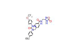 CC(C)(C)c1ccc(N(Cc2ccc(C(=O)NCc3noc(=O)[nH]3)cc2)C(=O)Nc2ccc(OC(F)(F)F)cc2)cc1